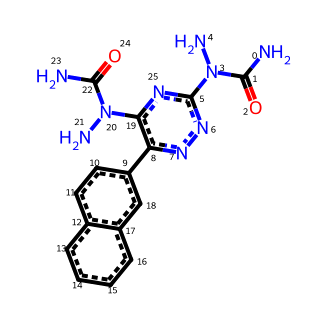 NC(=O)N(N)c1nnc(-c2ccc3ccccc3c2)c(N(N)C(N)=O)n1